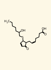 CCCCCC(O)CSC1C=CC(=O)C1C/C=C\CCCC(=O)O